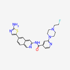 Nc1ncc(-c2ccc3cnc(NC(=O)c4ccnc(N5CCN(CCF)CC5)c4)cc3c2)s1